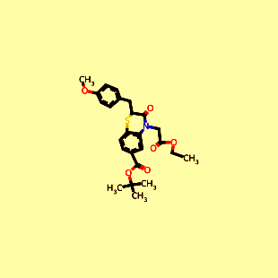 CCOC(=O)CN1C(=O)C(Cc2ccc(OC)cc2)Sc2ccc(C(=O)OC(C)(C)C)cc21